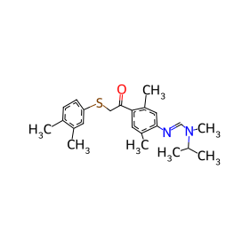 Cc1ccc(SCC(=O)c2cc(C)c(N=CN(C)C(C)C)cc2C)cc1C